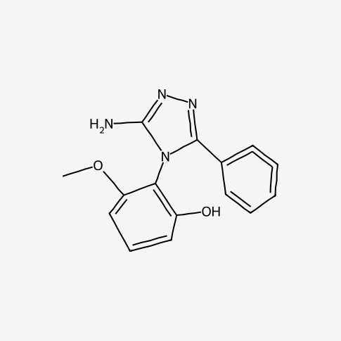 COc1cccc(O)c1-n1c(N)nnc1C1=C=C=CC=C1